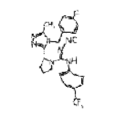 [C-]#[N+]/N=C(\Nc1ccc(C(F)(F)F)cc1)N1CCC[C@@H]1c1nnc(C)n1Cc1ccc(Cl)cc1